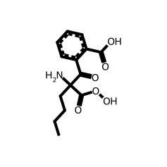 CCCCC(N)(C(=O)OO)C(=O)c1ccccc1C(=O)O